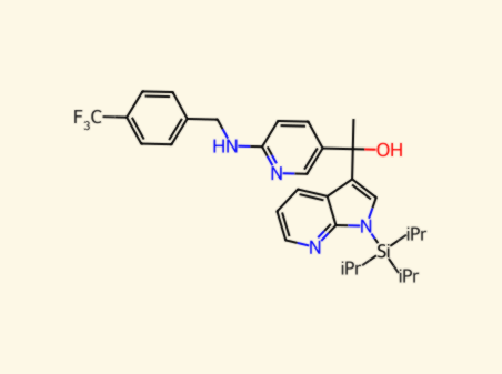 CC(C)[Si](C(C)C)(C(C)C)n1cc(C(C)(O)c2ccc(NCc3ccc(C(F)(F)F)cc3)nc2)c2cccnc21